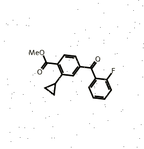 COC(=O)c1ccc(C(=O)c2ccccc2F)cc1C1CC1